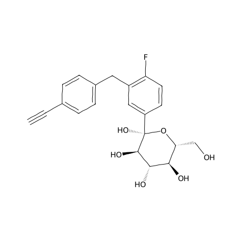 C#Cc1ccc(Cc2cc([C@@]3(O)O[C@H](CO)[C@@H](O)[C@H](O)[C@H]3O)ccc2F)cc1